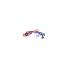 COc1cc(C)c(S(=O)(=O)N2CCC(CCOCC(=O)NCC3CCC(C(c4cccs4)N(C)C)CC3)CC2)c(C)c1C